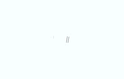 [C+2]=O.[Cl-].[Cl-]